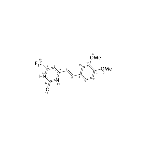 COc1ccc(C=Cc2cc(C(F)(F)F)[nH]c(=O)n2)cc1OC